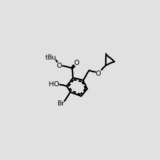 CC(C)(C)OC(=O)c1c(COC2CC2)ccc(Br)c1O